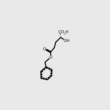 O=C(CC[C@@H](O)C(=O)O)OCc1ccccc1